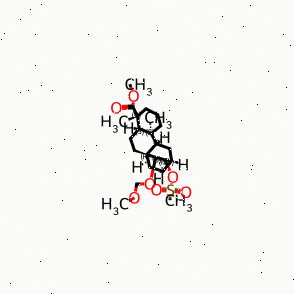 COCO[C@@H]1[C@H](OS(C)(=O)=O)[C@H]2CC[C@@]13CC[C@H]1[C@@](C)(CCC[C@@]1(C)C(=O)OC)[C@@H]3C2